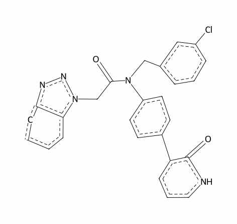 O=C(Cn1nnc2ccccc21)N(Cc1cccc(Cl)c1)c1ccc(-c2ccc[nH]c2=O)cc1